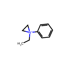 [CH2]C[N+]1(c2ccccc2)CC1